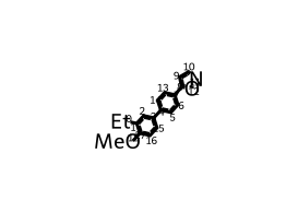 CCc1cc(-c2ccc(-c3ccno3)cc2)ccc1OC